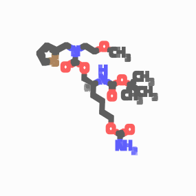 COCCN(Cc1cccs1)C(=O)OC[C@H](CCCCOC(N)=O)NC(=O)OC(C)(C)C